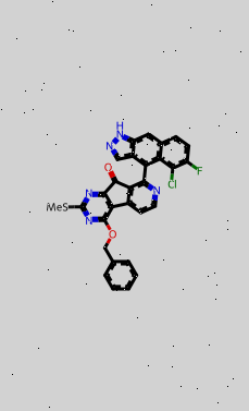 CSc1nc(OCc2ccccc2)c2c(n1)C(=O)c1c-2ccnc1-c1c2cn[nH]c2cc2ccc(F)c(Cl)c12